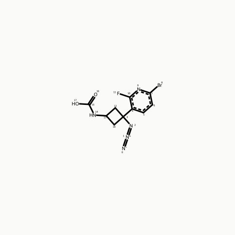 [N-]=[N+]=NC1(c2ccc(Br)nc2F)CC(NC(=O)O)C1